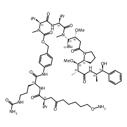 CC[C@H](C)[C@@H]([C@@H](CC(=O)N1CCC[C@H]1[C@H](OC)[C@@H](C)C(=O)N[C@H](C)[C@@H](O)c1ccccc1)OC)N(C)C(=O)[C@@H](NC(=O)[C@H](C(C)C)N(C)C(=O)OCc1ccc(NC(=O)[C@H](CCCNC(N)=O)NC(=O)[C@@H](CC(=O)CCCCCON)C(C)C)cc1)C(C)C